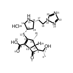 C[C@@H](O)[C@H]1C(=O)N2C(C(=O)O)=C(S[C@@H]3CN[C@H](CCn4cncn4)C3)[C@H](C)[C@H]12.Cl